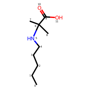 CCCCCNC(C)(C)C(=O)O